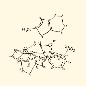 CC1=CC2=C(CCCC2)[CH]1[Zr]([O]c1ccccc1[N+](=O)[O-])([O]c1ccccc1[N+](=O)[O-])[CH]1C(C)=CC2=C1CCCC2